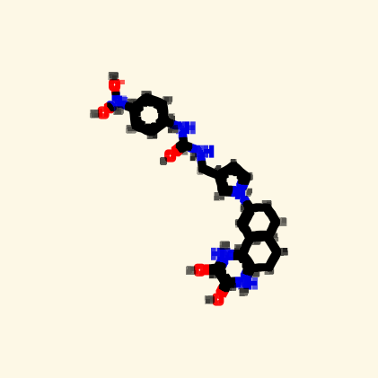 O=C(NCc1ccn(C2=CC3=C(CC2)CCc2[nH]c(=O)c(=O)[nH]c23)c1)Nc1ccc([N+](=O)[O-])cc1